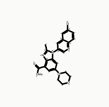 COC(=O)c1cc(N2CCOCC2)cc2c1nc(C)n2-c1cnc2ccc(Cl)cc2c1